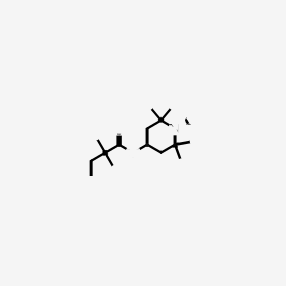 CCC(C)(C)C(=O)OC1CC(C)(C)[N+](=O)C(C)(C)C1